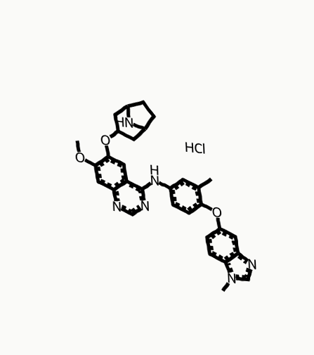 COc1cc2ncnc(Nc3ccc(Oc4ccc5c(c4)ncn5C)c(C)c3)c2cc1OC1CC2CCC(C1)N2.Cl